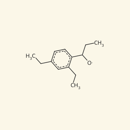 CCc1ccc(C([O])CC)c(CC)c1